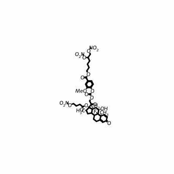 COc1cc(C(=O)OCCCCC(CO[N+](=O)[O-])O[N+](=O)[O-])ccc1OC(=O)OCC(=O)[C@@]1(OC(=O)CCCO[N+](=O)[O-])[C@@H](C)CC2C3CCC4=CC(=O)C=C[C@]4(C)[C@@]3(F)[C@@H](O)C[C@@]21C